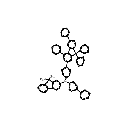 CC1(C)c2ccccc2-c2ccc(N(c3ccc(-c4ccccc4)cc3)c3ccc(-c4cc(-c5ccccc5)c5c(c4)C(c4ccccc4)(c4ccccc4)c4ccc(-c6ccccc6)cc4-5)cc3)cc21